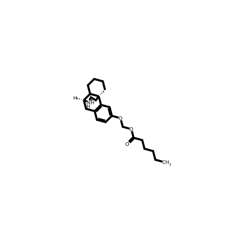 CCCCCC(=O)OCOc1ccc2c(c1)[C@]13CCCC[C@@H]1[C@H](C2)NCC3